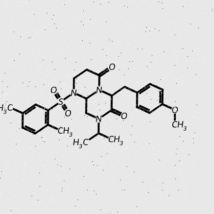 COc1ccc(CC2C(=O)N(C(C)C)CC3N2C(=O)CCN3S(=O)(=O)c2cc(C)ccc2C)cc1